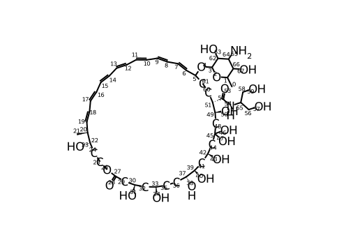 CC1OC(OC2/C=C/C=C/C=C/C=C/C=C/C=C/C=C/[C@H](C)[C@@H](O)CCOC(=O)C[C@H](O)C[C@H](O)CC[C@@H](O)[C@H](O)C[C@H](O)CC(O)(O)C[C@H](O)[C@@H](C(=O)NC(CO)CO)CC2)C(O)C(N)C1O